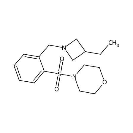 CCC1CN(Cc2ccccc2S(=O)(=O)N2CCOCC2)C1